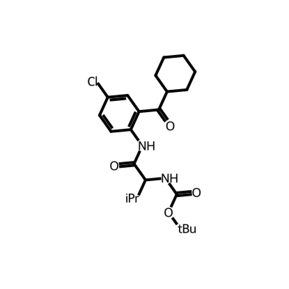 CC(C)C(NC(=O)OC(C)(C)C)C(=O)Nc1ccc(Cl)cc1C(=O)C1CCCCC1